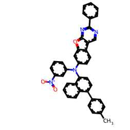 Cc1ccc(-c2ccc(N(c3cccc([N+](=O)[O-])c3)c3ccc4c(c3)oc3nc(-c5ccccc5)ncc34)c3ccccc23)cc1